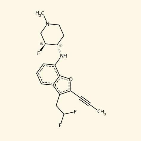 CC#Cc1oc2c(N[C@H]3CCN(C)C[C@@H]3F)cccc2c1CC(F)F